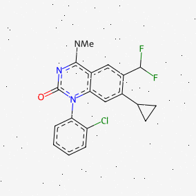 CNc1nc(=O)n(-c2ccccc2Cl)c2cc(C3CC3)c(C(F)F)cc12